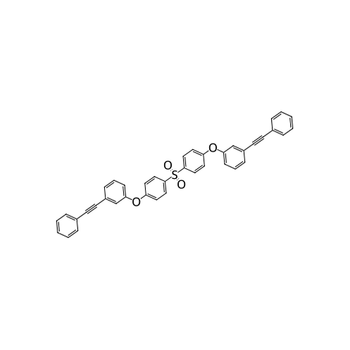 O=S(=O)(c1ccc(Oc2cccc(C#Cc3ccccc3)c2)cc1)c1ccc(Oc2cccc(C#Cc3ccccc3)c2)cc1